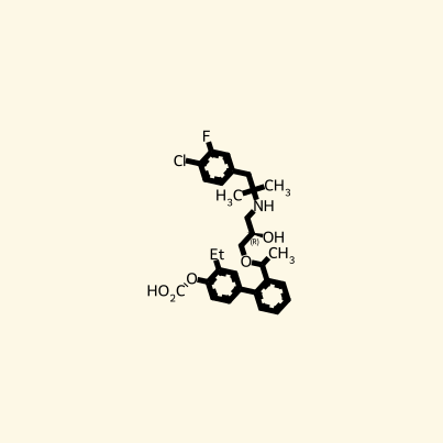 CCc1cc(-c2ccccc2C(C)OC[C@H](O)CNC(C)(C)Cc2ccc(Cl)c(F)c2)ccc1OC(=O)O